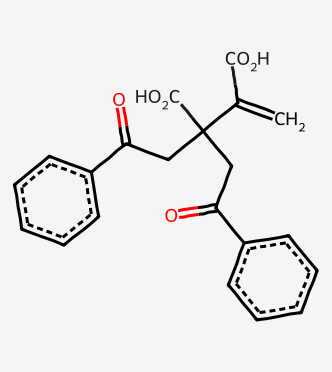 C=C(C(=O)O)C(CC(=O)c1ccccc1)(CC(=O)c1ccccc1)C(=O)O